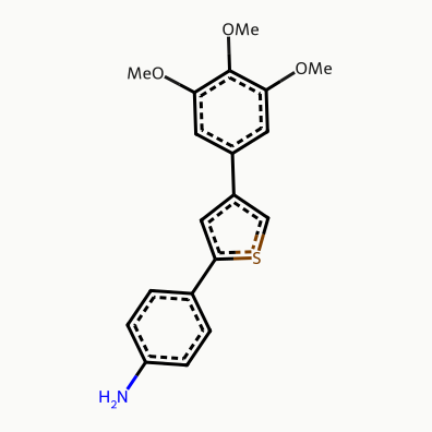 COc1cc(-c2csc(-c3ccc(N)cc3)c2)cc(OC)c1OC